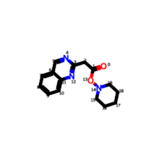 O=C(Cc1ncc2ccccc2n1)ON1CCCCC1